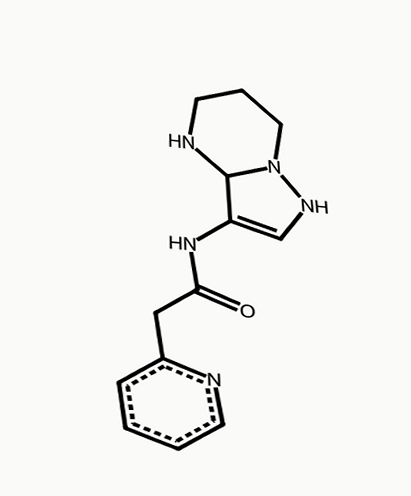 O=C(Cc1ccccn1)NC1=CNN2CCCNC12